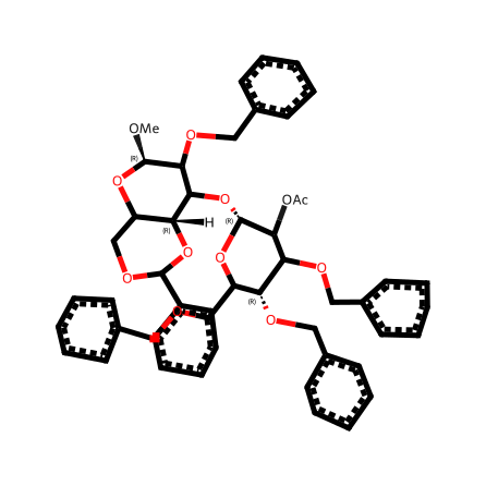 CO[C@@H]1OC2COC(c3ccccc3)O[C@H]2C(O[C@H]2OC(COCc3ccccc3)[C@@H](OCc3ccccc3)C(OCc3ccccc3)C2OC(C)=O)C1OCc1ccccc1